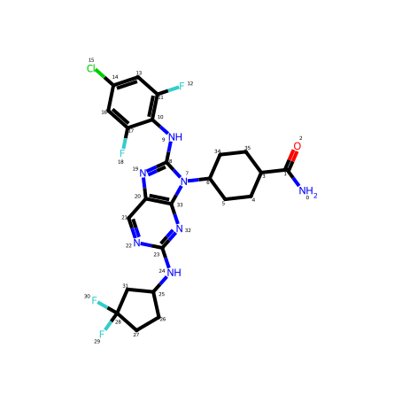 NC(=O)C1CCC(n2c(Nc3c(F)cc(Cl)cc3F)nc3cnc(NC4CCC(F)(F)C4)nc32)CC1